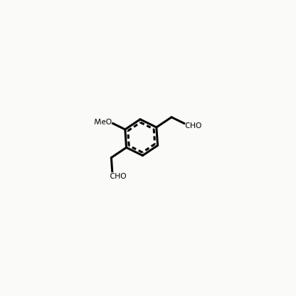 COc1cc(CC=O)ccc1CC=O